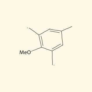 [CH2]c1cc(C)cc([CH2])c1OC